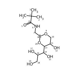 CC(C)(C)C(=O)NCB1OCC(O)C(C(O)C(O)CO)O1